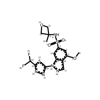 COc1cc(S(=O)(=O)NC2(C)COC2)cc2c1cnn2-c1nnc(C(F)F)s1